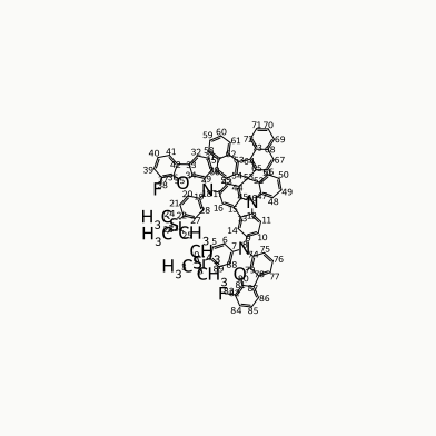 C[Si](C)(C)c1ccc(N(c2ccc3c(c2)c2cc(N(c4ccc([Si](C)(C)C)cc4)c4cccc5c4oc4c(F)cccc45)cc4c2n3-c2ccccc2C42c3ccc4ccccc4c3-c3c2ccc2ccccc32)c2cccc3c2oc2c(F)cccc23)cc1